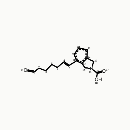 O=CCCCC/C=C/c1cccc2c1CN(C(=O)O)C2